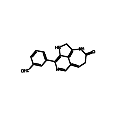 O=Cc1cccc(-c2ncc3c4c2NCC=4NC(=O)CC=3)c1